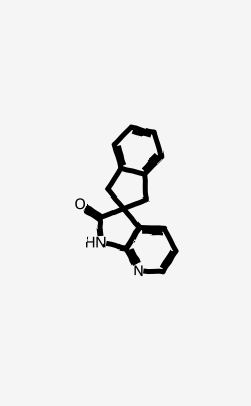 O=C1Nc2ncccc2C12Cc1ccccc1C2